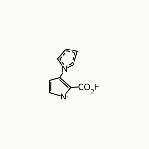 O=C(O)C1=C(n2cccc2)C=C[N]1